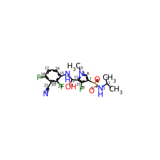 CC(C)NS(=O)(=O)c1cn(C)c(C(O)Nc2ccc(F)c(C#N)c2F)c1F